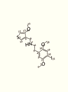 COc1cc(CCNCc2cscc2OC)c(OC)cc1I